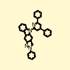 c1ccc(-c2cc(-c3ccccc3)nc(-n3c4ccccc4c4cc5nn(-c6ccccc6)cc5cc43)c2)cc1